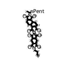 CCCCCC(C)n1c(=O)c2ccc3c(ccc4c(=O)n(-n5c(=O)c6cc7c(=O)n(CCCF)c(=O)c7cc6c5=O)c(=O)c43)c2c1=O